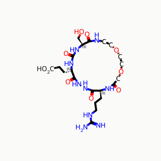 N=C(N)NCCC[C@@H]1NC(=O)COCCOCCNC(=O)[C@H](CO)NC(=O)N[C@@H](CCC(=O)O)C(=O)NNC1=O